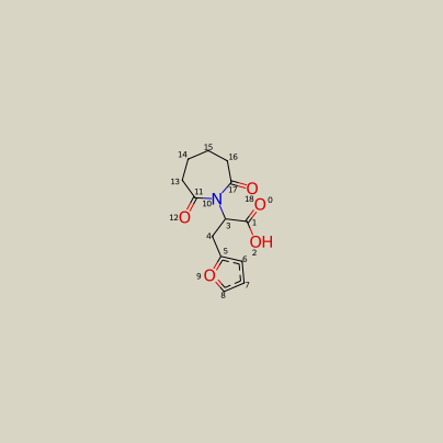 O=C(O)C(Cc1ccco1)N1C(=O)CCCCC1=O